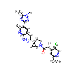 COc1cc([C@@H](C)C(=O)N2CC[C@]3(CCc4cc(-c5nc(C(F)(F)F)n(C)n5)c(C)nc4N)CC23)c(Cl)cn1